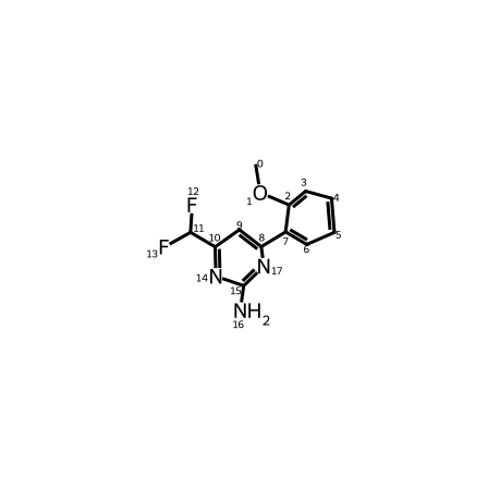 COc1ccccc1-c1cc(C(F)F)nc(N)n1